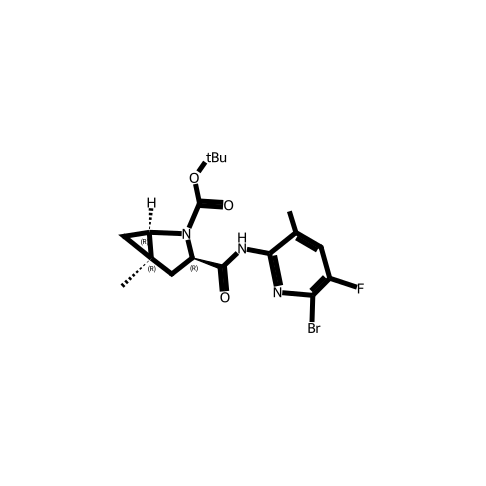 Cc1cc(F)c(Br)nc1NC(=O)[C@H]1C[C@@]2(C)C[C@H]2N1C(=O)OC(C)(C)C